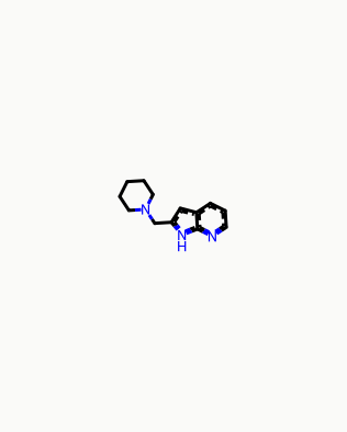 c1cnc2[nH]c(CN3CCCCC3)cc2c1